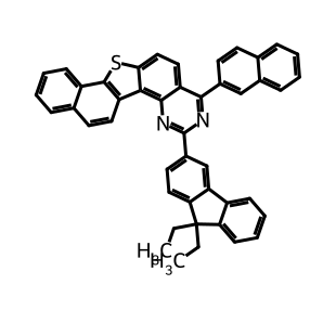 CCC1(CC)c2ccccc2-c2cc(-c3nc(-c4ccc5ccccc5c4)c4ccc5sc6c7ccccc7ccc6c5c4n3)ccc21